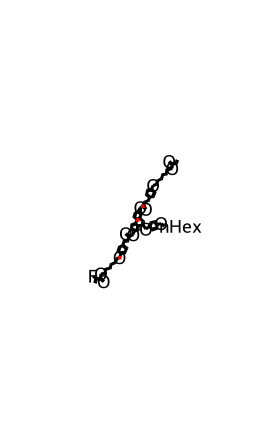 C=CC(=O)OCCCCCCOc1ccc(CCC(=O)Oc2ccc3c(c2)cc(Oc2ccc(OCCCCCC)cc2)c2cc(OC(=O)CCc4ccc(OCCCCCCOC(=O)C(=C)F)cc4)ccc23)cc1